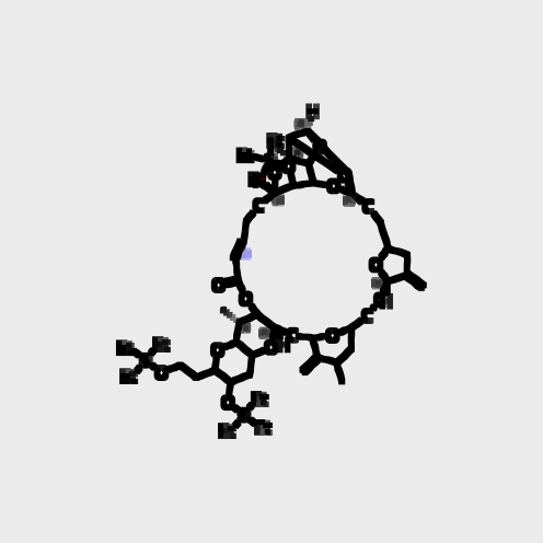 C=C1C(C)CC2CC[C@@H]3OC(CC[C@@]45C[C@H]6OC7C(O4)C(O[Si](CC)(CC)CC)[C@H](CC/C=C/C(=O)OC4[C@@H](C)C8OC(CCO[Si](CC)(CC)CC)C(O[Si](CC)(CC)CC)CC8O[C@H]4CC1O2)O[C@H]7C6O5)CC3=C